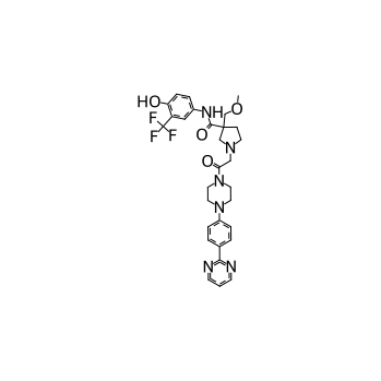 COCC1(C(=O)Nc2ccc(O)c(C(F)(F)F)c2)CCN(CC(=O)N2CCN(c3ccc(-c4ncccn4)cc3)CC2)C1